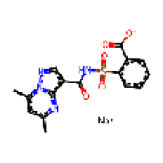 Cc1cc(C)n2ncc(C(=O)NS(=O)(=O)c3ccccc3C(=O)[O-])c2n1.[Na+]